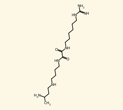 CC(N)CCNCCCCNC(=O)C(=O)NCCCCCCNC(=N)N